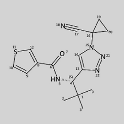 CC(C)(C)[C@H](NC(=O)c1ccsc1)c1cn(C2(C#N)CC2)nn1